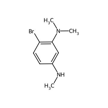 CNc1ccc(Br)c(N(C)C)c1